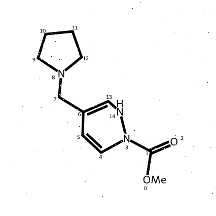 COC(=O)N1C=CC(CN2CCCC2)=CN1